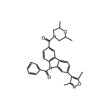 Cc1noc(C)c1-c1ccc2c3cc(C(=O)N4CC(C)OC(C)C4)ccc3n(C(=O)c3ccccc3)c2c1